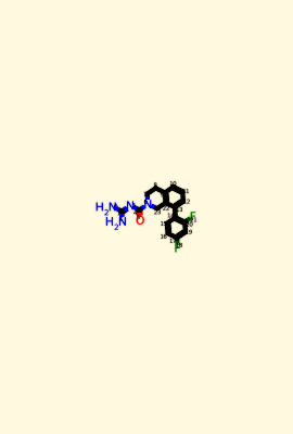 NC(N)=NC(=O)N1CCc2cccc(-c3ccc(F)cc3F)c2C1